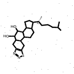 CC(C)CCC[C@@H](C)C1CCC2C1CCC1C3Cc4snnc4CC3C(O)C(O)C12